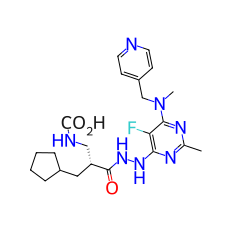 Cc1nc(NNC(=O)[C@@H](CNC(=O)O)CC2CCCC2)c(F)c(N(C)Cc2ccncc2)n1